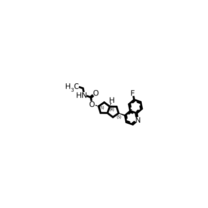 CCNC(=O)O[C@H]1CC2C[C@H](c3ccnc4ccc(F)cc34)C[C@@H]2C1